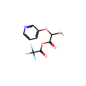 CC(Oc1cccnc1)C(=O)OC(=O)C(F)(F)F